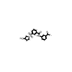 O=C(Nc1cccc(C(F)F)c1)c1cccc(S(=O)(=O)N2CCC(O)C2)c1